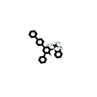 CC(C)(C)N(c1ccccc1F)c1cc(-c2ccc(-c3ccccc3)cc2)cc(-c2ccccc2)c1F